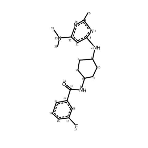 Cc1nc(NC2CCC(NC(=O)c3cccc(F)c3)CC2)cc(N(C)C)n1